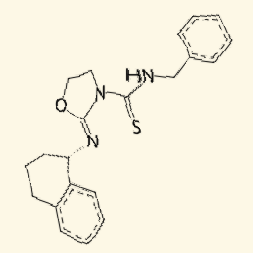 S=C(NCc1ccccc1)N1CCO/C1=N\[C@H]1CCCc2ccccc21